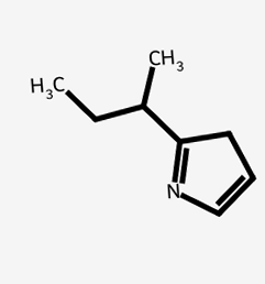 CCC(C)C1=NC=CC1